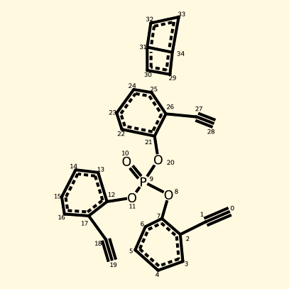 C#Cc1ccccc1OP(=O)(Oc1ccccc1C#C)Oc1ccccc1C#C.c1cc2ccc1-2